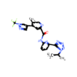 Cc1cnc(C(=O)Nc2cccc(-c3nnnn3C(C)C)n2)cc1-c1cnn(C(F)(F)F)c1